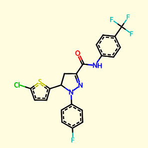 O=C(Nc1ccc(C(F)(F)F)cc1)C1=NN(c2ccc(F)cc2)C(c2ccc(Cl)s2)C1